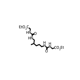 CCOC(=O)CNC(=O)NCCCC(C)CNC(=O)NCC(=O)OCC